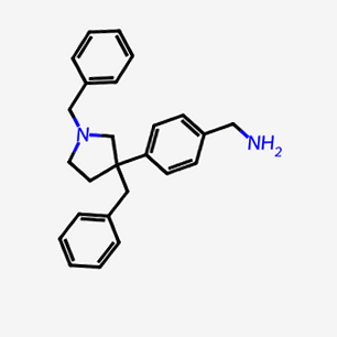 NCc1ccc(C2(Cc3ccccc3)CCN(Cc3ccccc3)C2)cc1